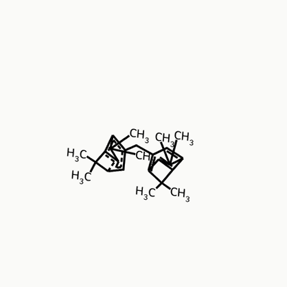 CC1(C)C2=CC(Cc3cc4c5c(c3C5(C)C)C4(C)C)=C3C1=C2C3(C)C